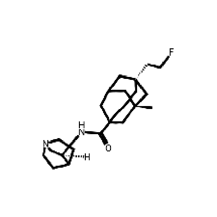 C[C@]12CC3CC(C(=O)N[C@@H]4CN5CCC4CC5)(C1)C[C@@](CCF)(C3)C2